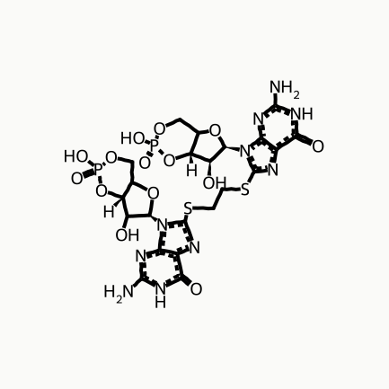 Nc1nc2c(nc(SCCSc3nc4c(=O)[nH]c(N)nc4n3[C@@H]3OC4COP(=O)(O)O[C@H]4[C@@H]3O)n2[C@@H]2OC3COP(=O)(O)O[C@H]3C2O)c(=O)[nH]1